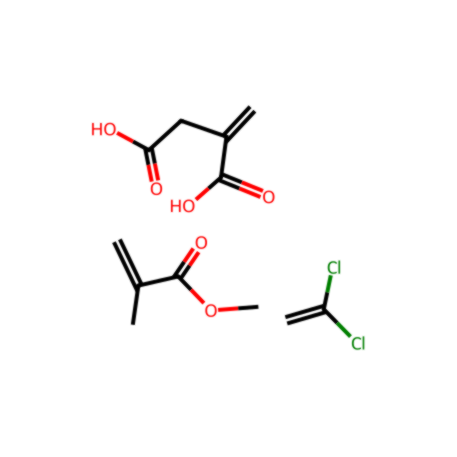 C=C(C)C(=O)OC.C=C(CC(=O)O)C(=O)O.C=C(Cl)Cl